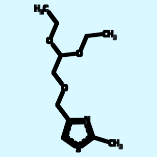 CCOC(COCc1csc(C)n1)OCC